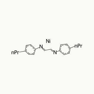 CCCc1ccc(N=CC=Nc2ccc(CCC)cc2)cc1.[Ni]